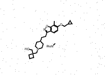 CNC.Cc1c(OCC2CC2)ccc2c(CCC3CCN(CC4(CO)CCC4)CC3)noc12